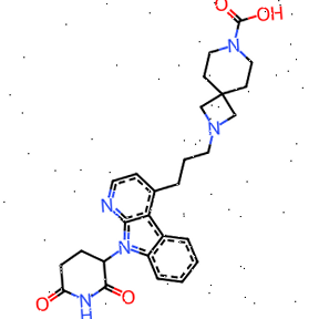 O=C1CCC(n2c3ccccc3c3c(CCCN4CC5(CCN(C(=O)O)CC5)C4)ccnc32)C(=O)N1